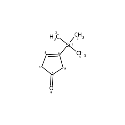 C[Si](C)(C)C1=CCC(=O)C1